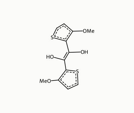 COc1ccsc1/C(O)=C(\O)c1sccc1OC